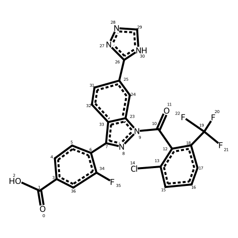 O=C(O)c1ccc(-c2nn(C(=O)c3c(Cl)cccc3C(F)(F)F)c3cc(-c4nnc[nH]4)ccc23)c(F)c1